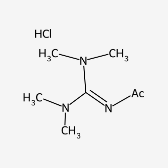 CC(=O)N=C(N(C)C)N(C)C.Cl